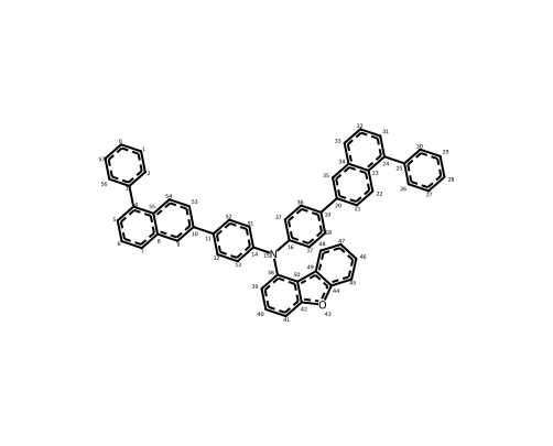 c1ccc(-c2cccc3cc(-c4ccc(N(c5ccc(-c6ccc7c(-c8ccccc8)cccc7c6)cc5)c5cccc6oc7ccccc7c56)cc4)ccc23)cc1